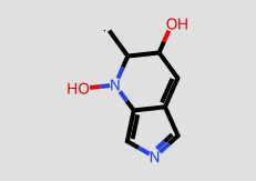 [CH2]C1C(O)C=C2C=NC=C2N1O